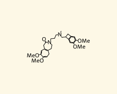 COC1=CCC2=C(C=C1OC)CC(=O)N(CCCN(C)CC1Cc3cc(OC)c(OC)cc31)CC2